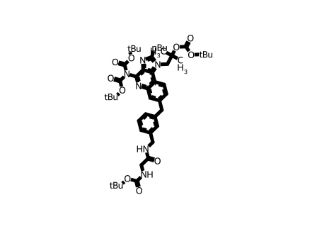 CCCCc1nc2c(N(C(=O)OC(C)(C)C)C(=O)OC(C)(C)C)nc3cc(Cc4cccc(CNC(=O)CNC(=O)OC(C)(C)C)c4)ccc3c2n1CC(C)(C)OC(=O)OC(C)(C)C